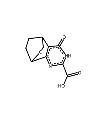 O=C(O)c1nc2c(c(=O)[nH]1)C1CCC2CC1